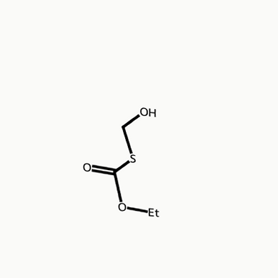 CCOC(=O)SCO